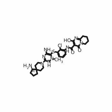 CN1NC(N2CCC3(CCC[C@H]3N)CC2)=NC(N)=C1Sc1cccc(NC(=O)c2c(O)nc3n(c2=O)CCCC3)c1Cl